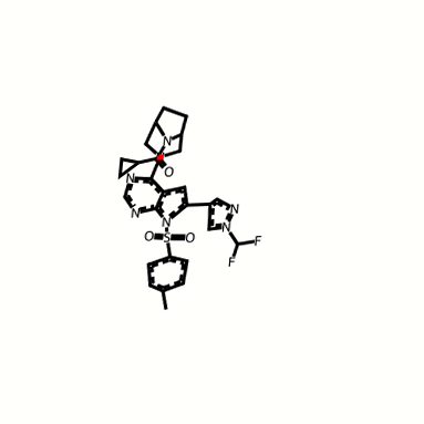 Cc1ccc(S(=O)(=O)n2c(-c3cnn(C(F)F)c3)cc3c(N4CC5CCC(C4)N5C(=O)C4CC4)ncnc32)cc1